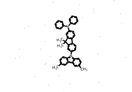 Cc1ccc2c(c1)c1cc(C)ccc1n2-c1ccc2c(c1)C(C)(C)c1cc(N(c3ccccc3)c3ccccc3)ccc1-2